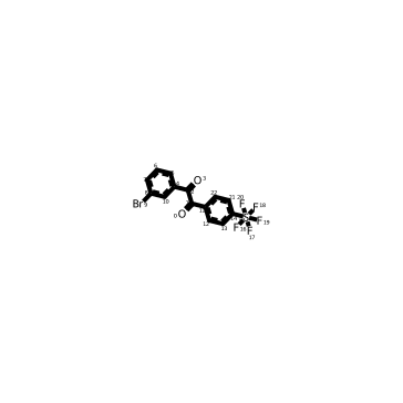 O=C(C(=O)c1cccc(Br)c1)c1ccc(S(F)(F)(F)(F)F)cc1